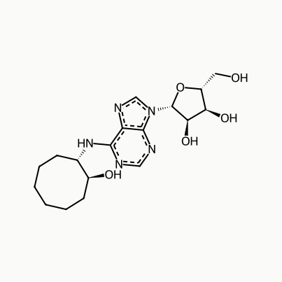 OC[C@H]1O[C@@H](n2cnc3c(N[C@H]4CCCCCC[C@@H]4O)ncnc32)[C@H](O)[C@@H]1O